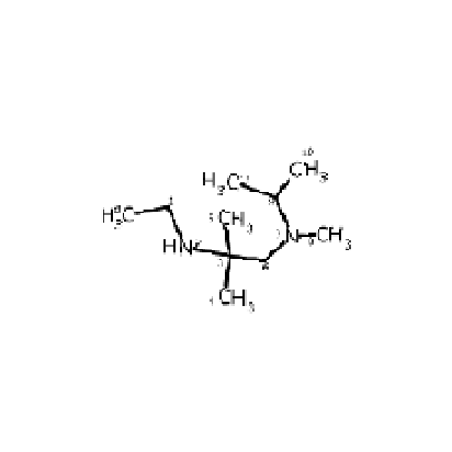 CCNC(C)(C)CN(C)C(C)C